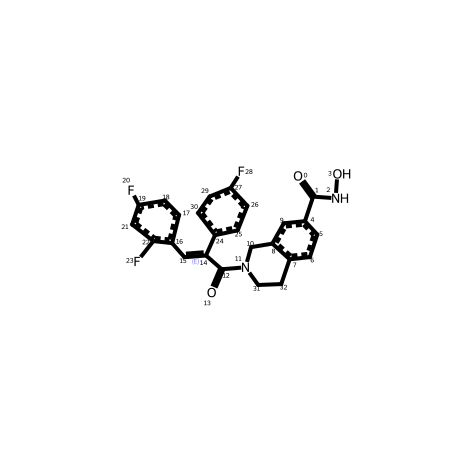 O=C(NO)c1ccc2c(c1)CN(C(=O)/C(=C/c1ccc(F)cc1F)c1ccc(F)cc1)CC2